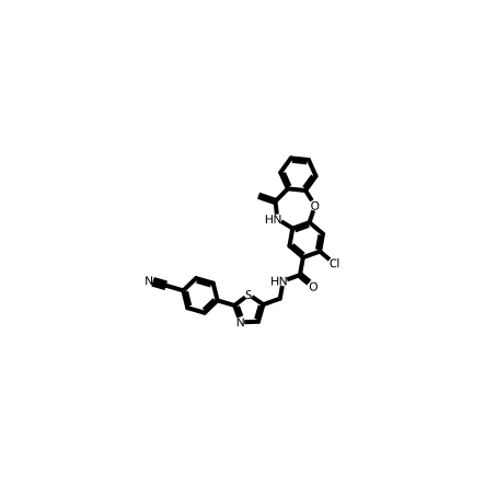 C=C1Nc2cc(C(=O)NCc3cnc(-c4ccc(C#N)cc4)s3)c(Cl)cc2Oc2ccccc21